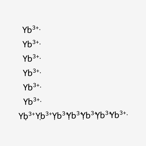 [Yb+3].[Yb+3].[Yb+3].[Yb+3].[Yb+3].[Yb+3].[Yb+3].[Yb+3].[Yb+3].[Yb+3].[Yb+3].[Yb+3].[Yb+3]